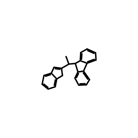 CC(C1=Cc2ccccc2C1)C1c2ccccc2-c2ccccc21